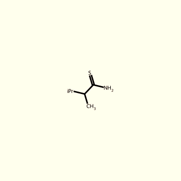 CC(C)C(C)C(N)=S